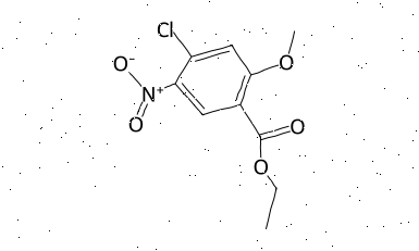 CCOC(=O)c1cc([N+](=O)[O-])c(Cl)cc1OC